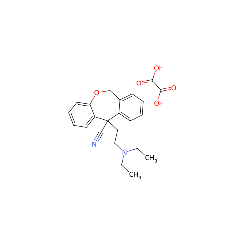 CCN(CC)CCC1(C#N)c2ccccc2COc2ccccc21.O=C(O)C(=O)O